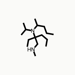 CCCC(C)N(C(C)C)C(CC)(CCC)CNC